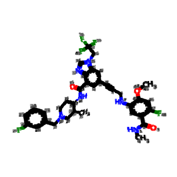 CNC(=O)c1cc(NCC#Cc2cc(C(=O)N[C@H]3CCN(Cc4cccc(F)c4)C[C@@H]3C)c3ncn(CC(F)(F)F)c3c2)c(OC)cc1F